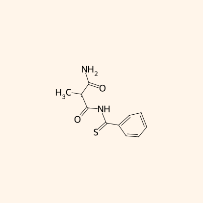 C[C](C(N)=O)C(=O)NC(=S)c1ccccc1